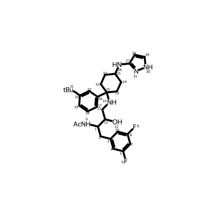 CC(=O)NC(Cc1cc(F)cc(F)c1)C(O)CNC1(c2cccc(C(C)(C)C)c2)CCC(Nc2cc[nH]n2)CC1